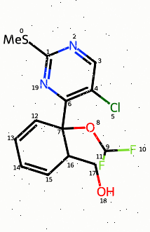 CSc1ncc(Cl)c(C2(OC(F)F)C=CC=CC2CO)n1